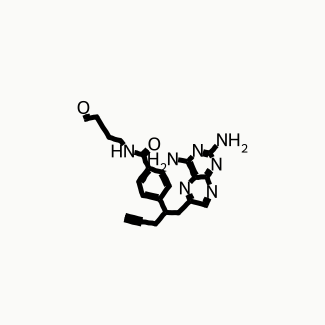 C#CCC(Cc1cnc2nc(N)nc(N)c2n1)c1ccc(C(=O)NCCCC=O)cc1